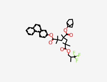 CC(COC(=O)C(C)(C)CC(C)(CC(C)(C)C(=O)Oc1ccc2c(ccc3ccccc32)c1)C(=O)OC1CC2CCC1C2)C(F)(F)F